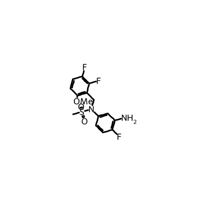 COc1ccc(F)c(F)c1CN(c1ccc(F)c(N)c1)S(C)(=O)=O